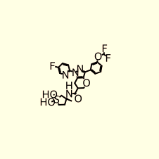 CC1(NC(=O)C2COc3c(-c4cccc(OC(F)F)c4)nn(-c4ccc(F)cn4)c3C2)CCS(O)(O)C1